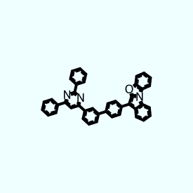 c1ccc(-c2cc(-c3cccc(-c4ccc(-c5c6ccccc6n6c5oc5ccccc56)cc4)c3)nc(-c3ccccc3)n2)cc1